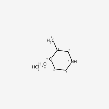 CC1CNCCO1.Cl.O